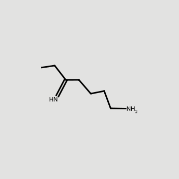 CCC(=N)CCCCN